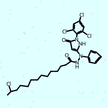 CC(Cl)CCCCCCCCCCCC(=O)NN(c1ccccc1)c1cc(=O)n(-c2c(Cl)cc(Cl)cc2Cl)[nH]1